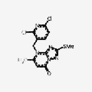 CSc1nc2n(Cc3ccc(Cl)nc3Cl)c(C)cc(=O)n2n1